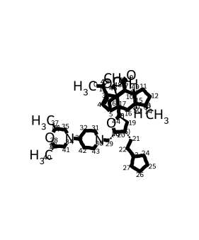 CC(C)C1=CC2CC3(C=O)[C@@H]4CC[C@@H](C)[C@H]4CC2([C@H]2C[C@H](CCC4CCCC4)[C@H](CN4CCC(N5C[C@@H](C)O[C@@H](C)C5)CC4)O2)[C@]13C(=O)O